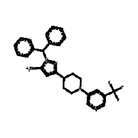 Nc1cc(C2CCN(c3cncc(C(F)(F)F)c3)CC2)nn1C(c1ccccc1)c1ccccc1